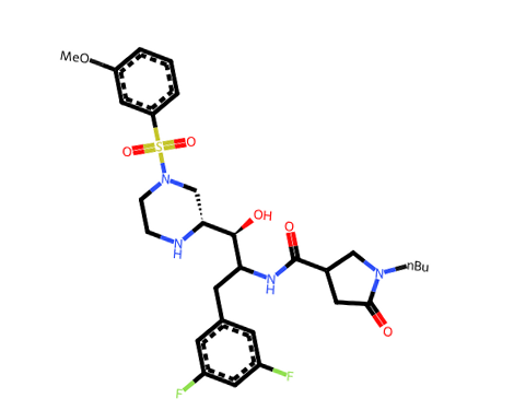 CCCCN1CC(C(=O)NC(Cc2cc(F)cc(F)c2)[C@H](O)[C@H]2CN(S(=O)(=O)c3cccc(OC)c3)CCN2)CC1=O